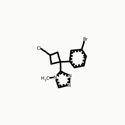 Cn1cnnc1C1(c2cccc(Br)c2)CC(Cl)C1